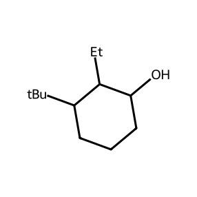 CCC1C(O)CCCC1C(C)(C)C